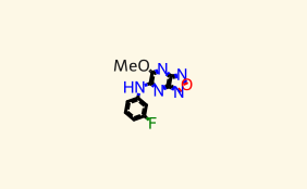 COc1nc2nonc2nc1Nc1cccc(F)c1